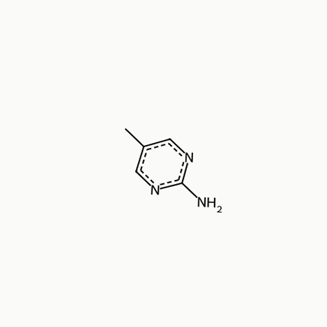 Cc1cnc(N)nc1